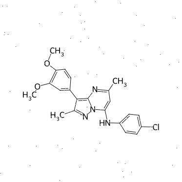 COc1ccc(-c2c(C)nn3c(Nc4ccc(Cl)cc4)cc(C)nc23)cc1OC